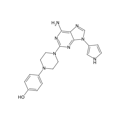 Nc1nc(N2CCN(c3ccc(O)cc3)CC2)nc2c1ncn2-c1cc[nH]c1